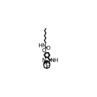 CCCCCCCNC(=O)Oc1ccc2c(=N)n3c(nc2c1)C1CC2CC(C1)CC3C2